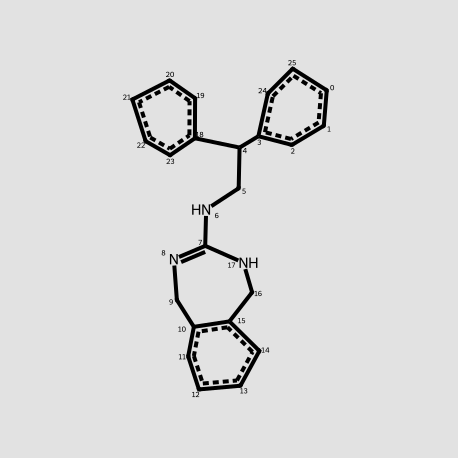 c1ccc(C(CNC2=NCc3ccccc3CN2)c2ccccc2)cc1